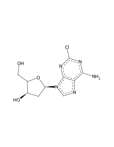 Nc1nc(Cl)nc2c1ncn2[C@H]1C[C@@H](O)C(CO)O1